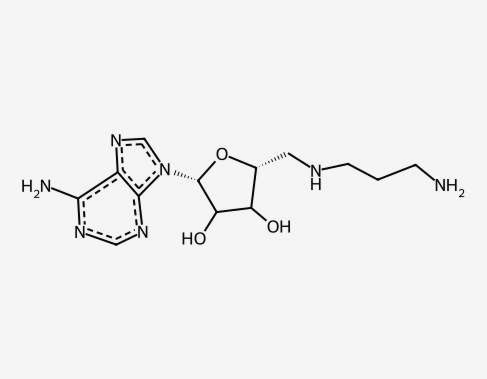 NCCCNC[C@H]1O[C@@H](n2cnc3c(N)ncnc32)C(O)C1O